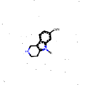 CCn1c2c(c3ccc(OC)cc31)CNCC2